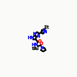 CCn1cc(-c2cnc3[nH]cc(C(=O)NC(C(=O)N4CCCC4)C(C)(C)C)c3n2)cn1